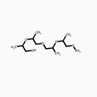 CC(CO)OC(C)COCC(C)OC(C)COP